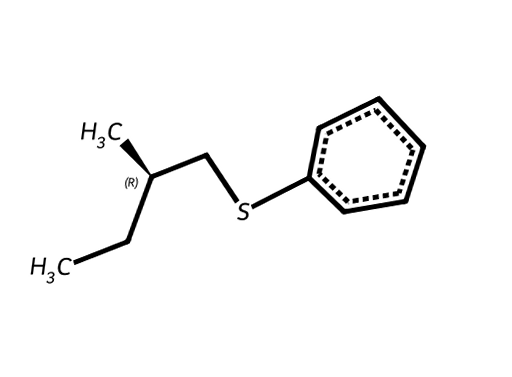 CC[C@@H](C)CSc1ccccc1